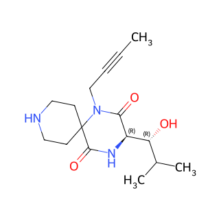 CC#CCN1C(=O)[C@@H]([C@H](O)C(C)C)NC(=O)C12CCNCC2